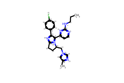 CCCNc1nccc(-c2c(-c3ccc(F)cc3)nc3n2C(Cn2cnc(C)c2)CC3)n1